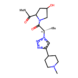 CNC(=O)C1CC(O)CN1C(=O)[C@@H](n1cc(C2CCN(C)CC2)nn1)C(C)(C)C